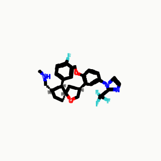 CNC[C@H]1CC[C@@]2(C[C@@H](c3cc(-n4ccnc4C(F)(F)F)ccc3OC)CO2)[C@@H]1c1ccc(F)cc1